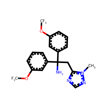 Cn1ncnc1CC(N)(c1cccc(OC(F)(F)F)c1)c1cccc(OC(F)(F)F)c1